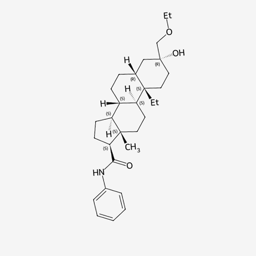 CCOC[C@@]1(O)CC[C@@]2(CC)[C@H](CC[C@H]3[C@@H]4CC[C@H](C(=O)Nc5ccccc5)[C@@]4(C)CC[C@@H]32)C1